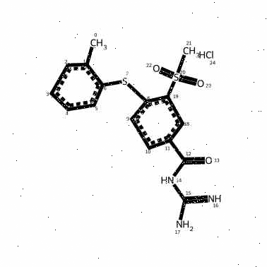 Cc1ccccc1Sc1ccc(C(=O)NC(=N)N)cc1S(C)(=O)=O.Cl